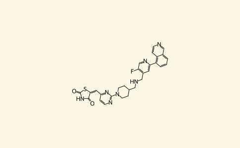 O=C1NC(=O)/C(=C\c2ccnc(N3CCC(CNCc4cc(-c5cccc6cnccc56)ncc4F)CC3)n2)S1